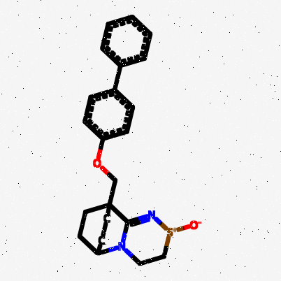 [O-][S+]1CCN2C(=N1)C1(COc3ccc(-c4ccccc4)cc3)CCC2CC1